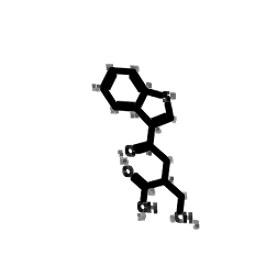 CCC(CC(=O)c1csc2ccccc12)C(=O)O